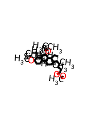 COC(=O)CC[C@@H](C)[C@H]1CC[C@H]2C3C(O[Si](C)(C)C)=C[C@@H]4C[C@H](O[Si](C)(C)C)CC[C@]4(C)[C@H]3CC[C@]12C